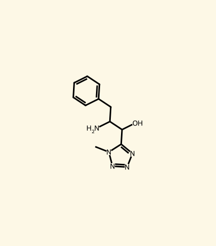 Cn1nnnc1C(O)C(N)Cc1ccccc1